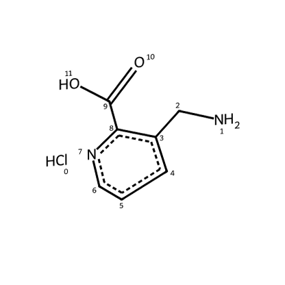 Cl.NCc1cccnc1C(=O)O